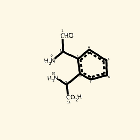 NC(C=O)c1ccccc1C(N)C(=O)O